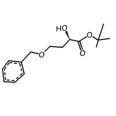 CC(C)(C)OC(=O)[C@H](O)CCOCc1ccccc1